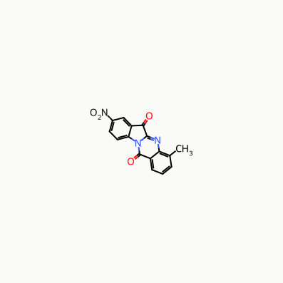 Cc1cccc2c(=O)n3c(nc12)C(=O)c1cc([N+](=O)[O-])ccc1-3